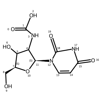 O=C(O)NC1C(O)[C@H](CO)O[C@@H]1n1ccc(=O)[nH]c1=O